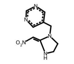 O=[N+]([O-])/C=C1\NCCN1Cc1cncnc1